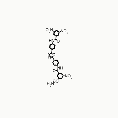 NOOc1cc(C(=O)Nc2ccc(-c3nnc(-c4ccc(NC(=O)c5cc([N+](=O)[O-])cc([N+](=O)[O-])c5)cc4)o3)cc2)cc([N+](=O)[O-])c1